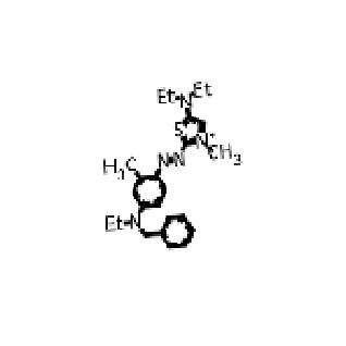 CCN(Cc1ccccc1)c1ccc(N=Nc2sc(N(CC)CC)c[n+]2C)c(C)c1